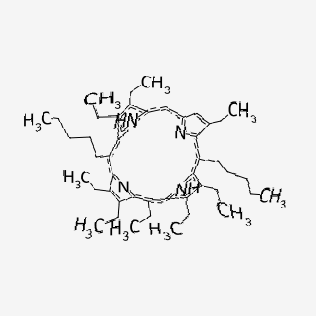 CCCCCc1c2nc(c(CC)c3[nH]c(c(CCCCC)c4nc(cc5[nH]c1c(CC)c5CC)C=C4CC)c(CC)c3CC)C(CC)=C2CC